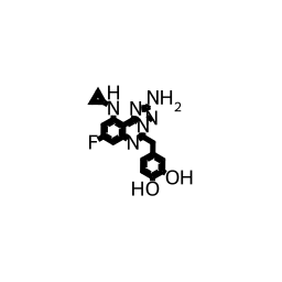 Nc1nc2c3c(NC4CC4)cc(F)cc3nc(Cc3ccc(O)c(O)c3)n2n1